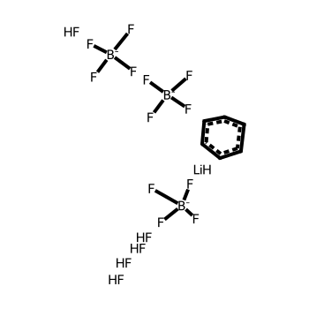 F.F.F.F.F.F[B-](F)(F)F.F[B-](F)(F)F.F[B-](F)(F)F.[LiH].c1ccccc1